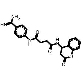 N=C(N)c1ccc(NC(=O)CCC(=O)NC2CC(=O)Oc3ccccc32)cc1